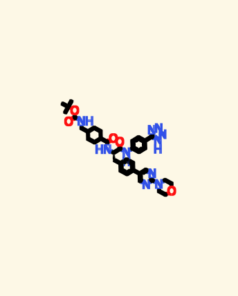 CC(C)(C)OC(=O)NCC1CCC(C(=O)N[C@@H](Cc2ccc(-c3cnc(N4CCOCC4)nc3)cc2)C(=O)Nc2ccc(-c3nnn[nH]3)cc2)CC1